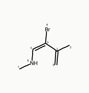 C=C(C)/C(Br)=C\NC